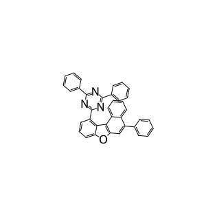 c1ccc(-c2nc(-c3ccccc3)nc(-c3cccc4oc5cc(-c6ccccc6)c6ccccc6c5c34)n2)cc1